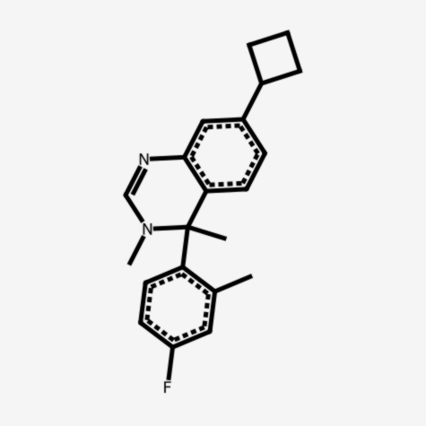 Cc1cc(F)ccc1C1(C)c2ccc(C3CCC3)cc2N=CN1C